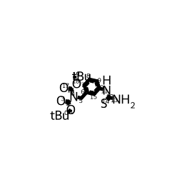 CC(C)(C)OC(=O)N(Cc1cccc(NC(N)=S)c1)C(=O)OC(C)(C)C